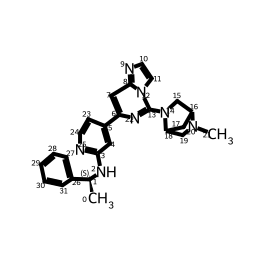 C[C@H](Nc1cc(-c2cc3nccn3c(N3CC4CC3CN4C)n2)ccn1)c1ccccc1